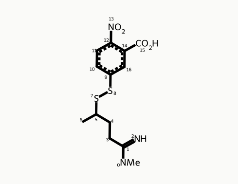 CNC(=N)CCC(C)SSc1ccc([N+](=O)[O-])c(C(=O)O)c1